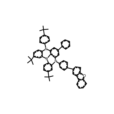 CC(C)(C)c1ccc(N2c3ccc(C(C)(C)C)cc3B3c4ccc(C(C)(C)C)cc4N(c4ccc(-c5ccc6oc7ccccc7c6c5)cc4)c4cc(-c5ccccc5)cc2c43)cc1